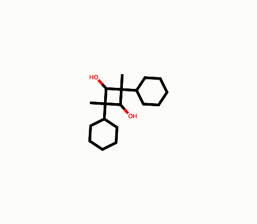 CC1(C2CCCCC2)C(O)C(C)(C2CCCCC2)C1O